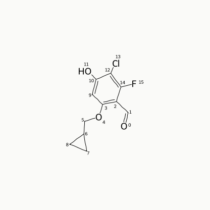 O=Cc1c(OCC2CC2)cc(O)c(Cl)c1F